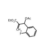 C=C(C(=O)OCC)C(OC(C)=O)c1ccccc1F